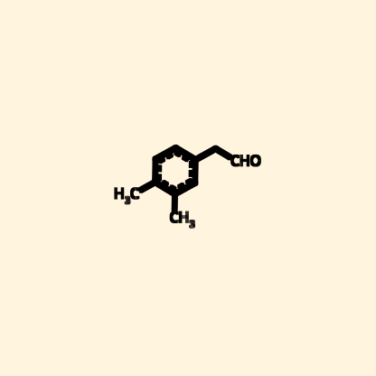 Cc1ccc(CC=O)cc1C